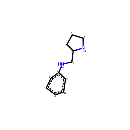 c1ccc(NCC2CCC[N]2)cc1